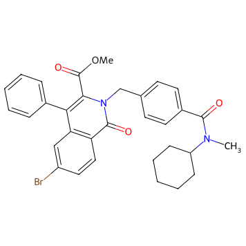 COC(=O)c1c(-c2ccccc2)c2cc(Br)ccc2c(=O)n1Cc1ccc(C(=O)N(C)C2CCCCC2)cc1